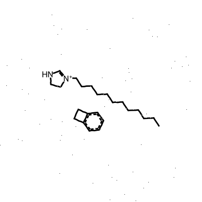 CCCCCCCCCCCC[N+]1=CNCC1.c1ccc2c(c1)CC2